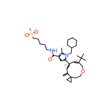 C=C1/C=C(c2cc(C(=O)NCCCCCS(C)(=O)=O)c(C)n2CC2CCCCC2)\C=C(\C(C)(C)C)COCCC12CC2